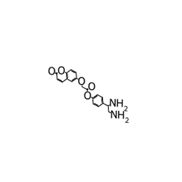 NCC(N)c1ccc(OC(=O)COc2ccc3oc(=O)ccc3c2)cc1